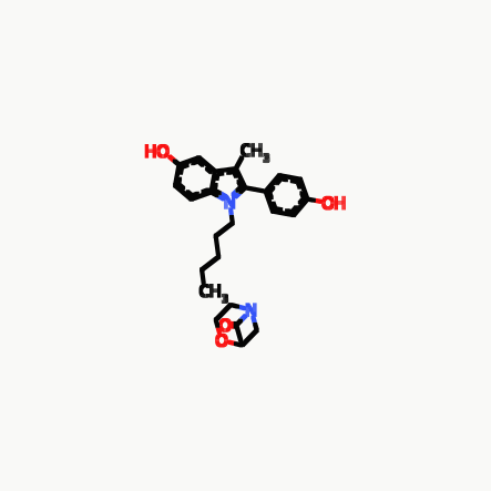 CCCCCn1c(-c2ccc(O)cc2)c(C)c2cc(O)ccc21.O=C1C2CN1CCO2